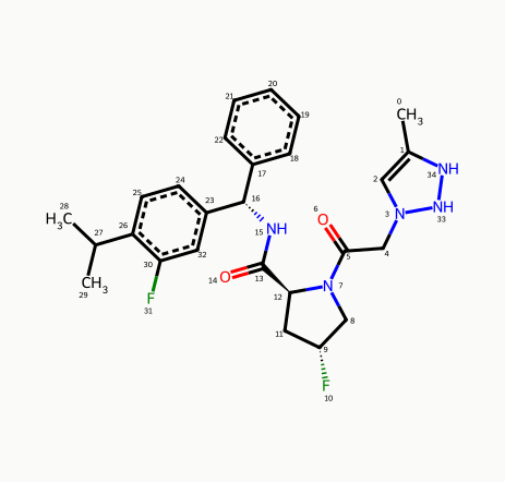 CC1=CN(CC(=O)N2C[C@H](F)C[C@H]2C(=O)N[C@@H](c2ccccc2)c2ccc(C(C)C)c(F)c2)NN1